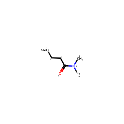 [CH2]CN(C)C(=O)CCOC